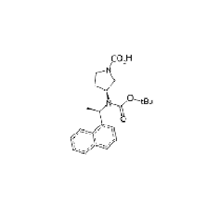 C[C@H](c1cccc2ccccc12)N(C(=O)OC(C)(C)C)[C@H]1CCN(C(=O)O)C1